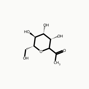 CC(=O)[C]1O[C@H](CO)[C@@H](O)[C@H](O)[C@@H]1O